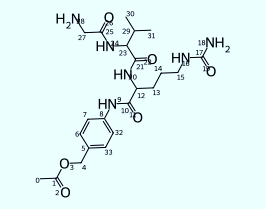 CC(=O)OCc1ccc(NC(=O)C(CCCNC(N)=O)NC(=O)C(NC(=O)CN)C(C)C)cc1